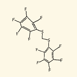 Fc1c(F)c(F)c(SCSc2c(F)c(F)c(F)c(F)c2F)c(F)c1F